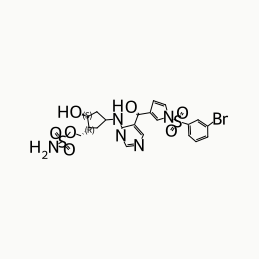 NS(=O)(=O)OC[C@H]1CC(Nc2ncncc2C(=O)c2ccn(S(=O)(=O)c3cccc(Br)c3)c2)C[C@@H]1O